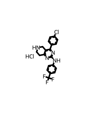 Cl.FC(F)(F)c1ccc(Nc2nc3c(c(-c4ccc(Cl)cc4)n2)CNCC3)cc1